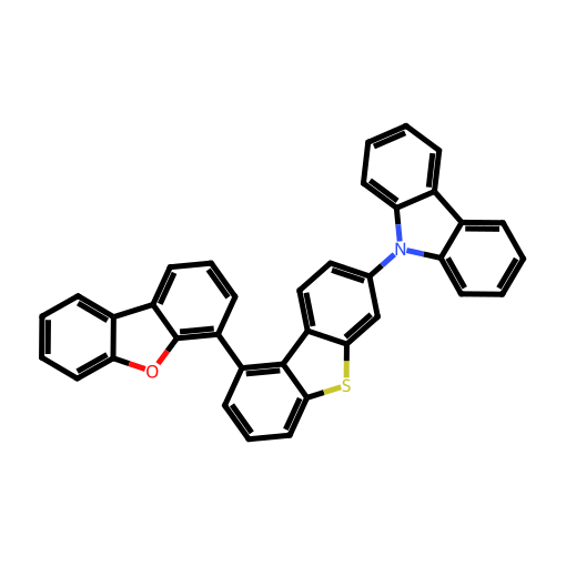 c1ccc2c(c1)oc1c(-c3cccc4sc5cc(-n6c7ccccc7c7ccccc76)ccc5c34)cccc12